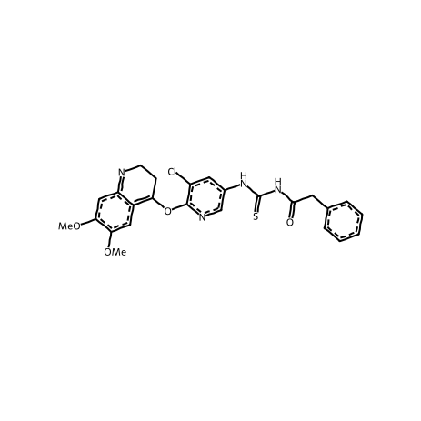 COc1cc2c(cc1OC)=C(Oc1ncc(NC(=S)NC(=O)Cc3ccccc3)cc1Cl)CCN=2